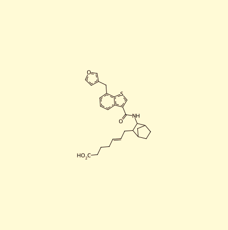 O=C(O)CCCC=CCC1C2CCC(C2)C1NC(=O)c1csc2c(Cc3ccoc3)cccc12